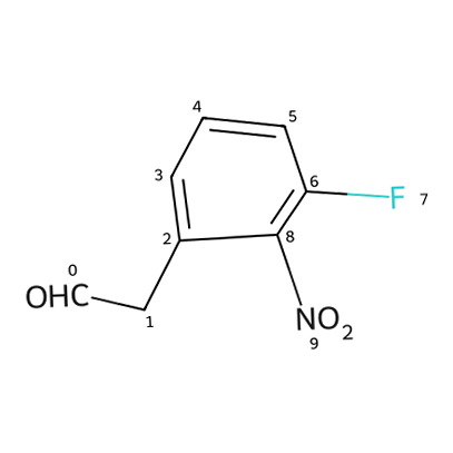 O=CCc1cccc(F)c1[N+](=O)[O-]